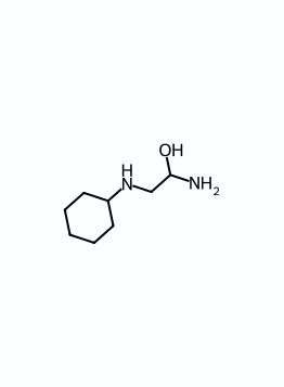 NC(O)CNC1CCCCC1